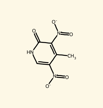 Cc1c([N+](=O)[O-])c[nH]c(=O)c1[N+](=O)[O-]